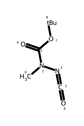 CN(N=C=O)C(=O)OC(C)(C)C